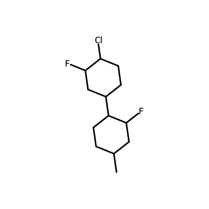 CC1CCC(C2CCC(Cl)C(F)C2)C(F)C1